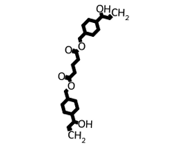 C=CC(O)C1CCC(COC(=O)CCCC(=O)OCC2CCC(C(O)C=C)CC2)CC1